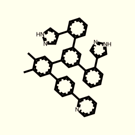 Cc1cc(-c2ccc(-c3ccccn3)cc2)c(-c2cc(-c3ccccc3-c3cn[nH]c3)cc(-c3ccccc3-c3cn[nH]c3)c2)cc1C